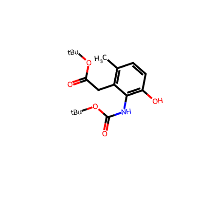 Cc1ccc(O)c(NC(=O)OC(C)(C)C)c1CC(=O)OC(C)(C)C